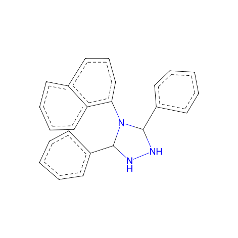 c1ccc(C2NNC(c3ccccc3)N2c2cccc3ccccc23)cc1